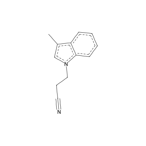 Cc1cn(CCC#N)c2ccccc12